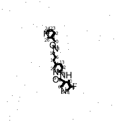 Cc1c(F)cncc1C(=O)Nc1ccc(CC/C=N/OCc2cccnc2)cn1